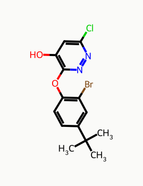 CC(C)(C)c1ccc(Oc2nnc(Cl)cc2O)c(Br)c1